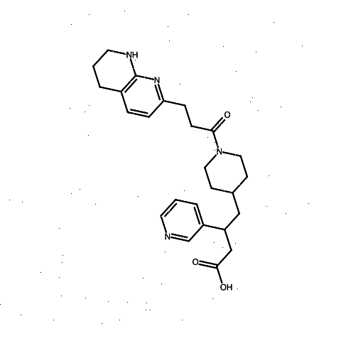 O=C(O)CC(CC1CCN(C(=O)CCc2ccc3c(n2)NCCC3)CC1)c1cccnc1